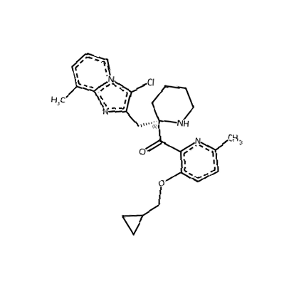 Cc1ccc(OCC2CC2)c(C(=O)[C@@]2(Cc3nc4c(C)cccn4c3Cl)CCCCN2)n1